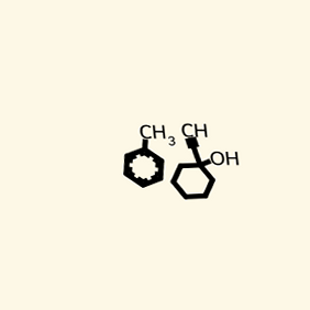 C#CC1(O)CCCCC1.Cc1ccccc1